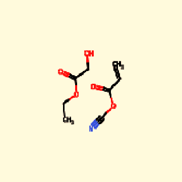 C=CC(=O)OC#N.CCOC(=O)CO